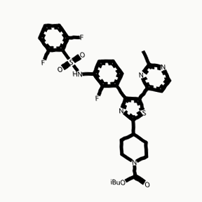 Cc1nccc(-c2sc(C3CCN(C(=O)OCC(C)C)CC3)nc2-c2cccc(NS(=O)(=O)c3c(F)cccc3F)c2F)n1